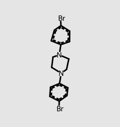 Brc1ccc(N2CCN(c3ccc(Br)cc3)CC2)cc1